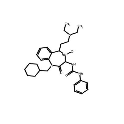 CCN(CC)CCC1c2ccccc2N(CC2CCCCC2)C(=O)C(NC(=O)Nc2ccccc2)[NH+]1[O-]